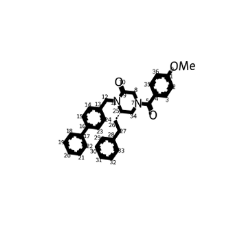 COc1ccc(C(=O)N2CC(=O)N(Cc3ccc(-c4ccccc4)cc3)[C@@H](CCc3ccccc3)C2)cc1